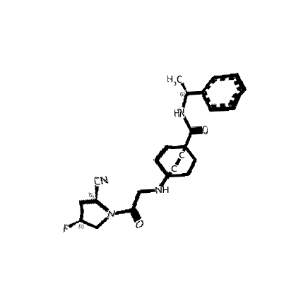 C[C@H](NC(=O)C12CCC(NCC(=O)N3C[C@@H](F)C[C@H]3C#N)(CC1)CC2)c1ccccc1